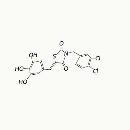 O=C1S/C(=C\c2cc(O)c(O)c(O)c2)C(=O)N1Cc1ccc(Cl)c(Cl)c1